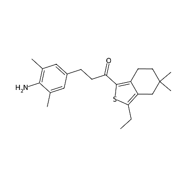 CCc1sc(C(=O)CCc2cc(C)c(N)c(C)c2)c2c1CC(C)(C)CC2